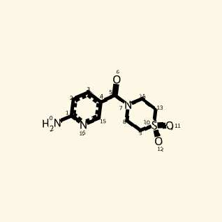 Nc1ccc(C(=O)N2CCS(=O)(=O)CC2)cn1